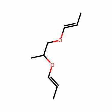 CC=COCC(C)OC=CC